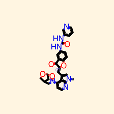 Cn1cc(/C=C2\Oc3ccc(NC(=O)Nc4cccnc4)cc3C2=O)c2c(N3CC4COC(C4)O3)ccnc21